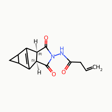 C=CCC(=O)NN1C(=O)[C@@H]2C3C=CC(C4CC43)[C@@H]2C1=O